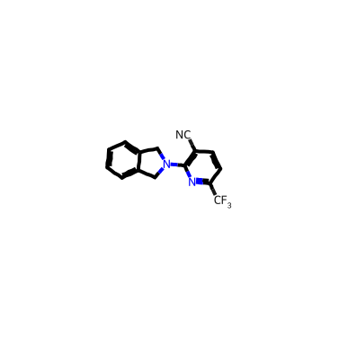 N#Cc1ccc(C(F)(F)F)nc1N1Cc2ccccc2C1